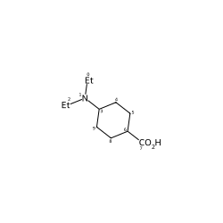 CCN(CC)C1CCC(C(=O)O)CC1